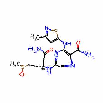 Cc1cc(Nc2nc(N[C@H](CC[S+](C)[O-])C(N)=O)cnc2C(N)=O)sn1